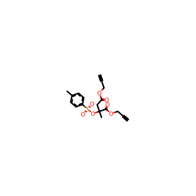 C#CCOC(=O)CC(C)(OS(=O)(=O)c1ccc(C)cc1)C(=O)OCC#C